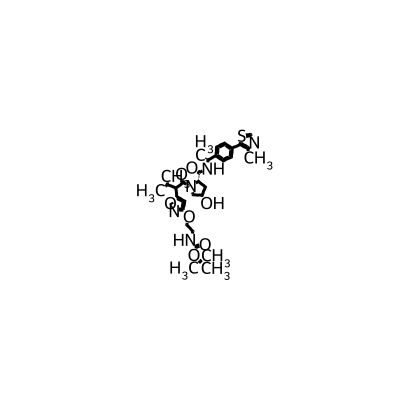 Cc1ncsc1-c1ccc([C@@H](C)NC(=O)[C@@H]2C[C@@H](O)CN2C(=O)C(c2cc(OCCNC(=O)OC(C)(C)C)no2)C(C)C)cc1